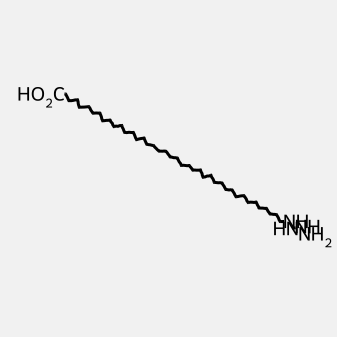 NNNNCCCCCCCCCCCCCCCCCCCCCCCCCCCCCCCCCCCCCCCCC(=O)O